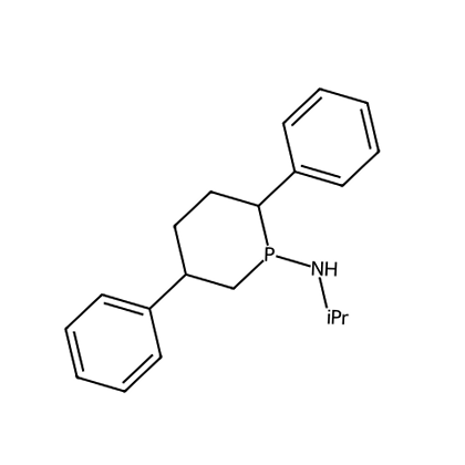 CC(C)NP1CC(c2ccccc2)CCC1c1ccccc1